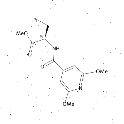 COC(=O)[C@@H](CC(C)C)NC(=O)c1cc(OC)nc(OC)c1